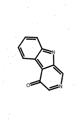 O=C1C=NC=C2N=c3ccccc3=C12